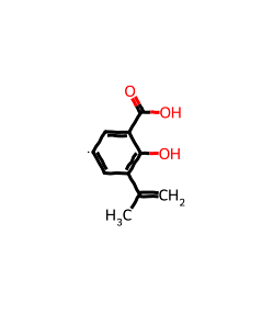 C=C(C)c1c[c]cc(C(=O)O)c1O